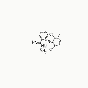 Cc1ccc(Cl)c(Nc2ccccc2C(=N)NN)c1Cl